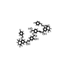 Cc1ccc(CCNc2cc(C(O)C#Cc3ccc(C(=O)O)c(OC(=O)c4ccc(C=CC(O)c5cc(SCc6ccc(C)cc6)c6c(c5)C(C)(C)CCC6(C)C)cc4O)c3)cc3c2C(C)(C)CCC3(C)C)cc1